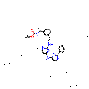 C[C@H](NC(=O)OC(C)(C)C)c1cccc(CCNc2nccc(N(C)c3ccnc(-c4ccccc4)n3)n2)c1